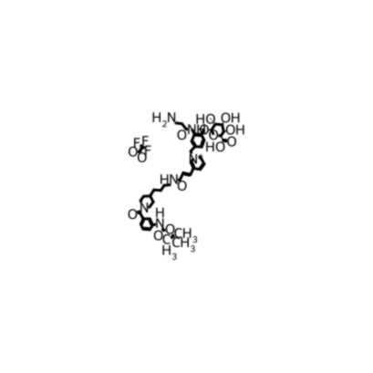 CC(C)(C)OC(=O)Nc1cccc(C(=O)N2CCC(CCCCNC(=O)/C=C/c3ccc[n+](Cc4ccc(O[C@@H]5O[C@H](C(=O)O)[C@@H](O)[C@H](O)[C@H]5O)c(NC(=O)CCN)c4)c3)CC2)c1.O=C([O-])C(F)(F)F